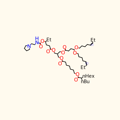 CC/C=C\CCCCOC(CCC(=O)OCC(COC(=O)CCCCCCOC(=O)C(CCCC)CCCCCC)COC(=O)CCC(CC)OC(=O)NCCN1CCCC1)OCCCC/C=C\CC